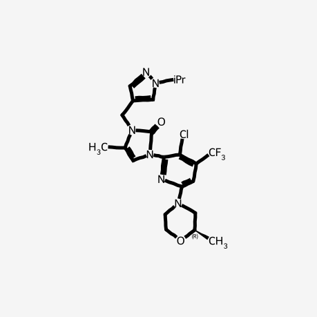 Cc1cn(-c2nc(N3CCO[C@H](C)C3)cc(C(F)(F)F)c2Cl)c(=O)n1Cc1cnn(C(C)C)c1